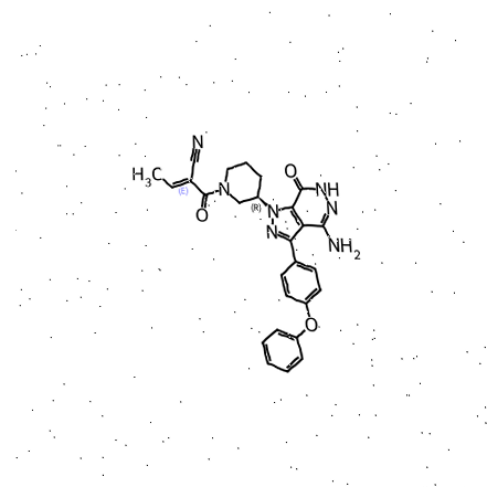 C/C=C(\C#N)C(=O)N1CCC[C@@H](n2nc(-c3ccc(Oc4ccccc4)cc3)c3c(N)n[nH]c(=O)c32)C1